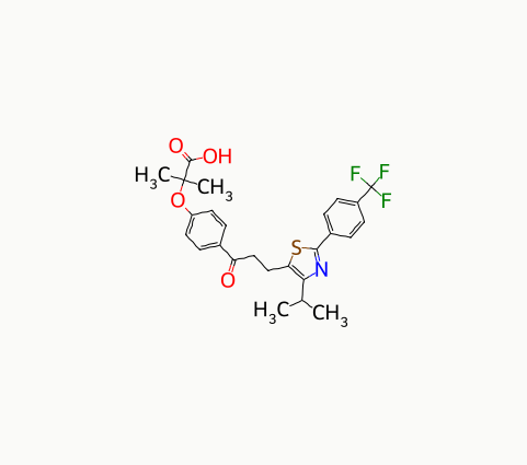 CC(C)c1nc(-c2ccc(C(F)(F)F)cc2)sc1CCC(=O)c1ccc(OC(C)(C)C(=O)O)cc1